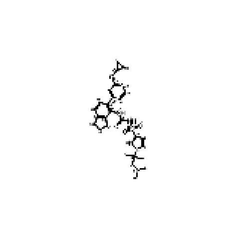 CN(C)CC(C)(C)n1ccc(S(=O)(=O)NC(=O)Nc2c(-c3ccnc(OC4CC4)c3)ccc3c2CCC3)n1